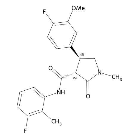 COc1cc([C@H]2CN(C)C(=O)[C@@H]2C(=O)Nc2cccc(F)c2C)ccc1F